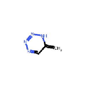 C=C1C=NN=NN1